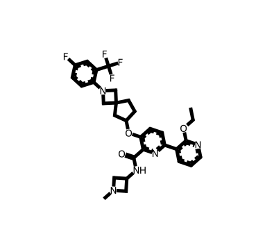 CCOc1ncccc1-c1ccc(OC2CCC3(C2)CN(c2ccc(F)cc2C(F)(F)F)C3)c(C(=O)NC2CN(C)C2)n1